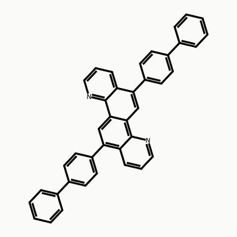 c1ccc(-c2ccc(-c3cc4c(cc(-c5ccc(-c6ccccc6)cc5)c5cccnc54)c4ncccc34)cc2)cc1